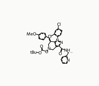 COc1ccc(/C=C2\CN(OC(=O)OC(C)(C)C)Cc3c(C(=O)N[C@H](C)c4ccccn4)nn(-c4ccc(Cl)cc4Cl)c32)cc1